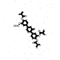 C=C(C)C(=O)Oc1ccc(-c2ccc(-c3ccc(OC(=O)C(=C)C)c(OC(=O)C(=C)C)c3)c(F)c2)cc1OC=O